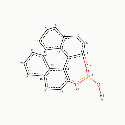 CCOp1oc2ccc3ccccc3c2c2c(ccc3ccccc32)o1